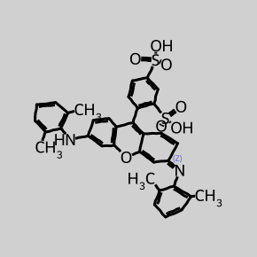 Cc1cccc(C)c1/N=c1/ccc2c(-c3ccc(S(=O)(=O)O)cc3S(=O)(=O)O)c3ccc(Nc4c(C)cccc4C)cc3oc-2c1